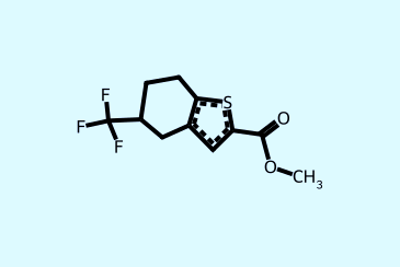 COC(=O)c1cc2c(s1)CCC(C(F)(F)F)C2